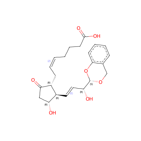 O=C(O)CCC/C=C\C[C@H]1C(=O)C[C@@H](O)[C@@H]1/C=C/[C@@H](O)[C@H]1OCc2ccccc2O1